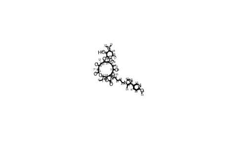 CC[C@H]1OC(=O)[C@H](C)C(=O)[C@H](C)[C@@H](O[C@@H]2O[C@H](C)C[C@H](N(C)C)[C@H]2O)[C@@](C)(OC)C[C@@H](C)C(=O)[C@H](C)[C@H]2N(CCCCn3cnc(-c4ccc(OC)nc4)c3C)C(=O)O[C@]12C